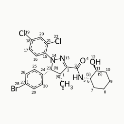 C[C@H]1C(C(=O)N[C@H]2CCCC[C@@H]2O)=NN(c2ccc(Cl)cc2Cl)[C@H]1c1ccc(Br)cc1